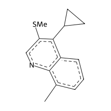 CSc1cnc2c(C)cccc2c1C1CC1